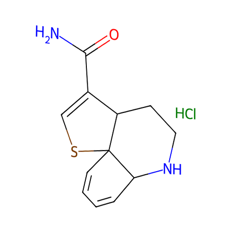 Cl.NC(=O)C1=CSC23C=CC=CC2NCCC13